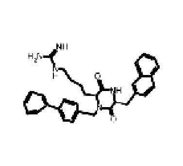 N=C(N)NCCCC[C@H]1C(=O)N[C@@H](Cc2ccc3ccccc3c2)C(=O)N1Cc1ccc(-c2ccccc2)cc1